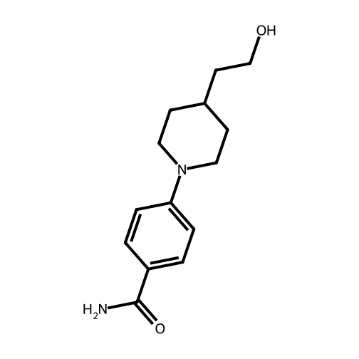 NC(=O)c1ccc(N2CCC(CCO)CC2)cc1